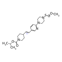 COOSN1CCN(c2ccc(/C=C/C3CCN(C(=O)OC(C)C)CC3)cn2)CC1